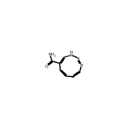 NC(=O)c1ccccnn[nH]c1